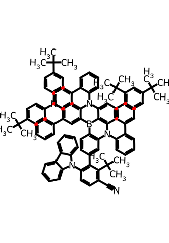 CC(C)(C)c1ccc(N(c2ccc(C(C)(C)C)cc2)c2cc3c(cc2-c2ccccc2)B2c4ccc(-c5c(-n6c7ccccc7c7ccccc76)ccc(C#N)c5C(C)(C)C)cc4N(c4ccccc4-c4ccccc4)c4cc(-c5ccc(C(C)(C)C)cc5C(C)(C)C)cc(c42)N3c2ccccc2-c2ccccc2)cc1